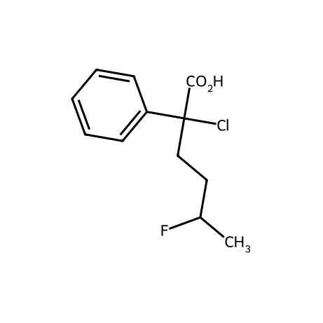 CC(F)CCC(Cl)(C(=O)O)c1ccccc1